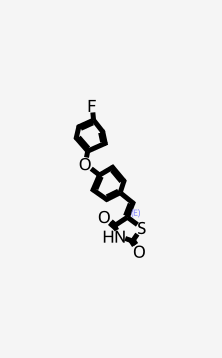 O=C1NC(=O)/C(=C\c2ccc(Oc3ccc(F)cc3)cc2)S1